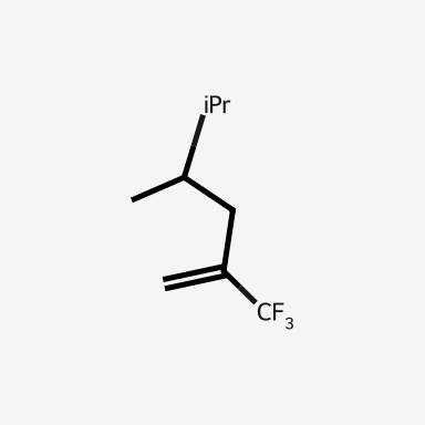 C=C(CC(C)C(C)C)C(F)(F)F